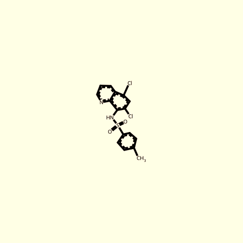 Cc1ccc(S(=O)(=O)Nc2c(Cl)cc(Cl)c3cccnc23)cc1